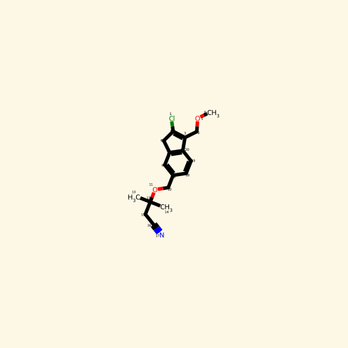 COCC1=C(Cl)Cc2cc(COC(C)(C)CC#N)ccc21